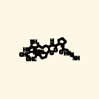 N=NNCC(=O)N1CCCC1C(=O)NC(CCCNC(=N)N)C(=O)C1CCC(C(C=O)NCC=O)N1